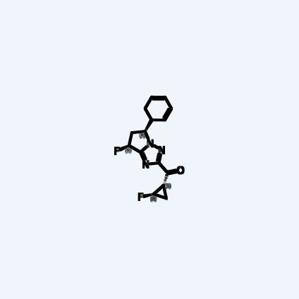 O=C(c1nc2n(n1)[C@H](C1C=CC=CC1)C[C@@H]2F)[C@@H]1C[C@H]1F